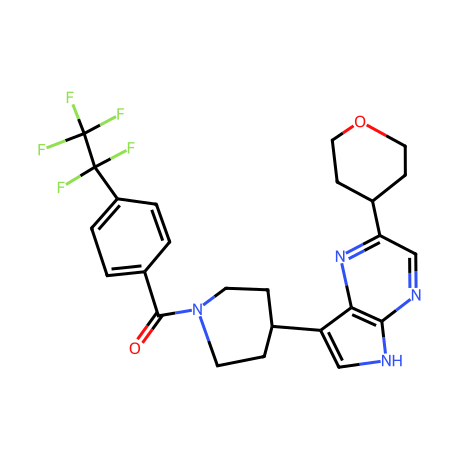 O=C(c1ccc(C(F)(F)C(F)(F)F)cc1)N1CCC(c2c[nH]c3ncc(C4CCOCC4)nc23)CC1